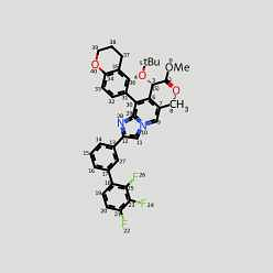 COC(=O)[C@@H](OC(C)(C)C)c1c(C)cn2cc(-c3cccc(-c4ccc(F)c(F)c4F)c3)nc2c1-c1ccc2c(c1)CCCO2